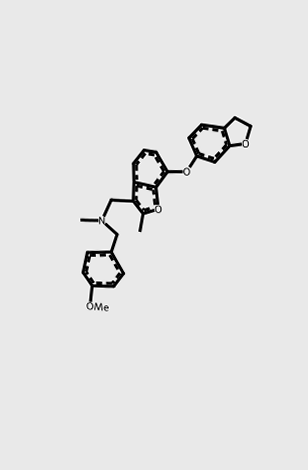 COc1ccc(CN(C)Cc2c(C)oc3c(Oc4ccc5c(c4)OCC5)cccc23)cc1